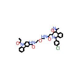 C=CC(=O)n1c2ccccc2c2cc(C(=O)NCCOCCNC(=O)CC3N=C(c4ccc(Cl)cc4)c4ccccc4-c4c(C)noc43)ccc21